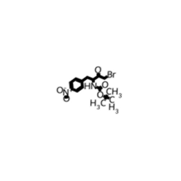 CC(C)(C)OC(=O)NC(Cc1ccc([N+](=O)[O-])cc1)C(=O)CBr